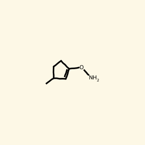 CC1C=C(ON)CC1